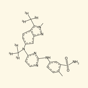 [2H]C([2H])([2H])c1c2ccc(N(c3ccnc(Nc4ccc(C)c(S(N)(=O)=O)c4)n3)C([2H])([2H])[2H])cc2nn1C